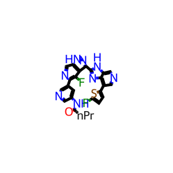 CCCC(=O)Nc1cncc(-c2ncc3[nH]nc(-c4nc5c(-c6ccc(F)s6)cncc5[nH]4)c3c2F)c1